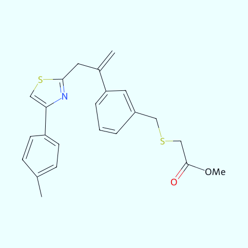 C=C(Cc1nc(-c2ccc(C)cc2)cs1)c1cccc(CSCC(=O)OC)c1